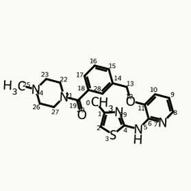 Cc1csc(Nc2ncccc2OCc2cccc(C(=O)N3CCN(C)CC3)c2)n1